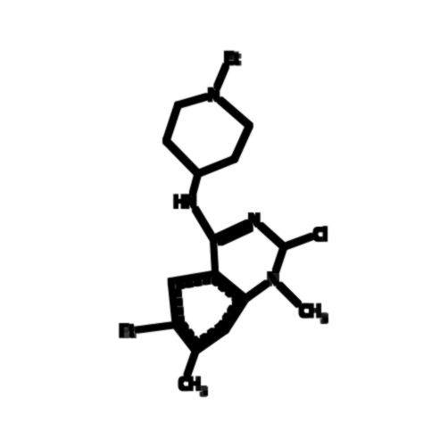 CCc1cc2c(cc1C)N(C)C(Cl)N=C2NC1CCN(CC)CC1